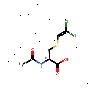 CC(=O)N[C@@H](CSC=C(Cl)Cl)C(=O)O